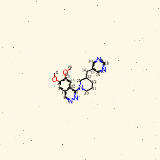 COc1cc2cnnc(N3CCCC(Cc4cncnc4)C3)c2cc1OC